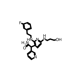 NC(=O)C(c1cccnc1)c1ccc(NCCCO)nc1NCCc1cccc(F)c1